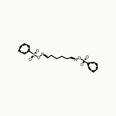 O=S(=O)(O/N=C/CCCC/C=N/OS(=O)(=O)c1ccccc1)c1ccccc1